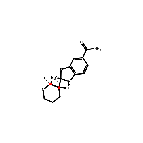 C[C@H]1[C@H](C2(C)Nc3ccc(C(N)=O)cc3S2)C2CCN1CC2